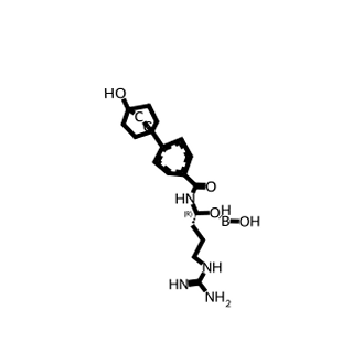 N=C(N)NCCC[C@H](NC(=O)c1ccc(C23CCC(O)(CC2)CC3)cc1)OBO